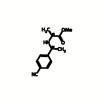 COC(=O)[C@H](C)N[C@@H](C)c1ccc(C#N)cc1